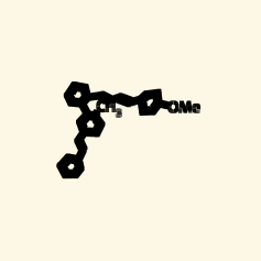 COc1ccc(C#CC#Cc2ccccc2-c2cc(/C=C/c3ccccc3)ccc2C)cc1